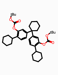 CC(C)(C)OC(=O)Oc1cc(C2(c3ccc(C4CCCCC4)c(OC(=O)OC(C)(C)C)c3)CCCCC2)ccc1C1CCCCC1